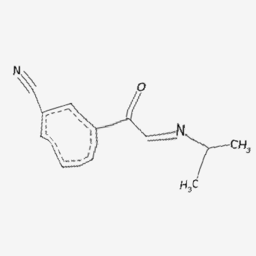 CC(C)N=CC(=O)c1cccc(C#N)c1